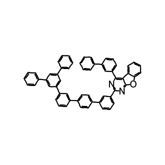 c1ccc(-c2cc(-c3ccccc3)cc(-c3cccc(-c4ccc(-c5cccc(-c6nc(-c7cccc(-c8ccccc8)c7)c7c(n6)oc6ccccc67)c5)cc4)c3)c2)cc1